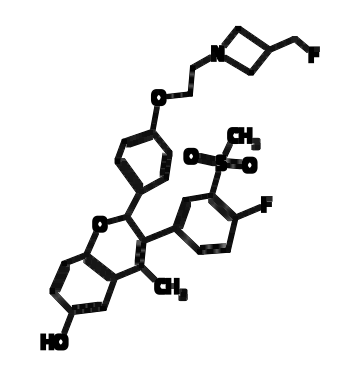 CC1=C(c2ccc(F)c(S(C)(=O)=O)c2)C(c2ccc(OCCN3CC(CF)C3)cc2)Oc2ccc(O)cc21